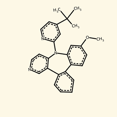 COc1ccc2c(c1)N(c1cc(C(C)(C)C)ccn1)c1ccncc1-c1ccccc1-2